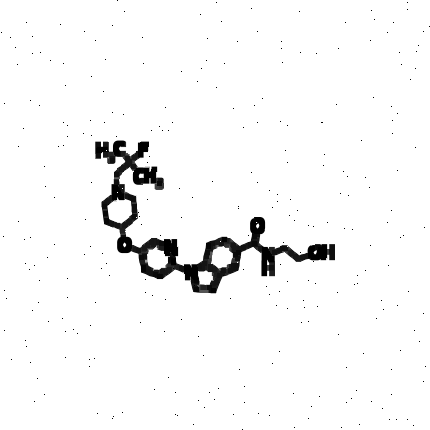 CC(C)(F)CN1CCC(Oc2ccc(-n3ccc4cc(C(=O)NCCO)ccc43)nc2)CC1